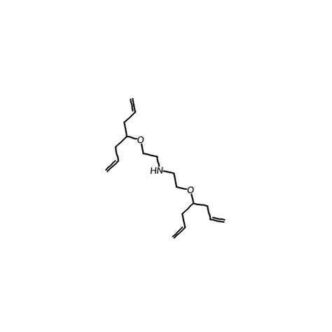 C=CCC(CC=C)OCCNCCOC(CC=C)CC=C